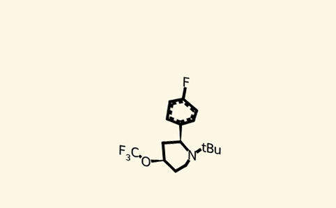 CC(C)(C)N1CC[C@@H](OC(F)(F)F)C[C@H]1c1ccc(F)cc1